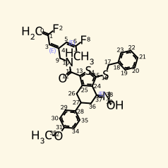 C=C(F)/C=C(\C=C(/C)F)CNC(=O)c1sc(SCc2ccccc2)c2c1CC(c1ccc(OC)cc1)C/C2=N\O